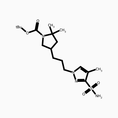 Cc1cn(CCCC2CN(C(=O)OC(C)(C)C)C(C)(C)C2)nc1S(N)(=O)=O